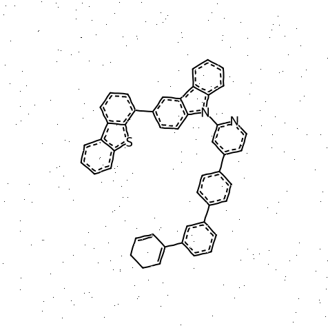 C1=CC(c2cccc(-c3ccc(-c4ccnc(-n5c6ccccc6c6cc(-c7cccc8c7sc7ccccc78)ccc65)c4)cc3)c2)=CCC1